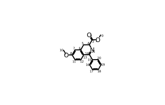 COC(=O)C1Cc2cc(OC)ccc2C(c2ccccc2)=N1